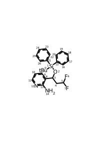 CC(C)(C)[Si](OC(CC(F)F)c1cccnc1N)(c1ccccc1)c1ccccc1